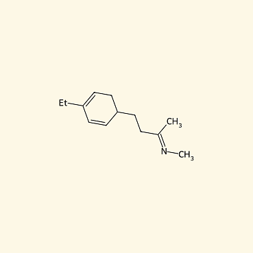 CCC1=CCC(CC/C(C)=N/C)C=C1